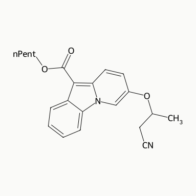 CCCCCOC(=O)c1c2ccccc2n2cc(OC(C)CC#N)ccc12